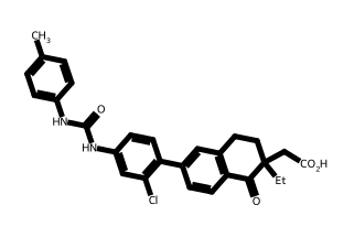 CCC1(CC(=O)O)CCc2cc(-c3ccc(NC(=O)Nc4ccc(C)cc4)cc3Cl)ccc2C1=O